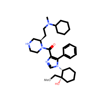 COC[C@]1(O)CCCC[C@H]1n1cnc(C(=O)N2CCNC[C@H]2CCN(C)C2CCCCC2)c1-c1ccccc1